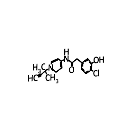 C#CC(C)(C)N1C=CC(NC(=O)Cc2ccc(Cl)c(O)c2)=CC1